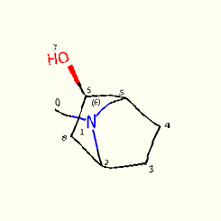 CN1C2CCC1[C@H](O)C2